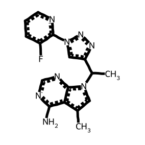 Cc1cn(C(C)c2cn(-c3ncccc3F)nn2)c2ncnc(N)c12